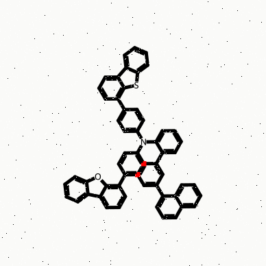 c1cc(-c2ccccc2N(c2ccc(-c3cccc4c3oc3ccccc34)cc2)c2ccc(-c3cccc4c3sc3ccccc34)cc2)cc(-c2cccc3ccccc23)c1